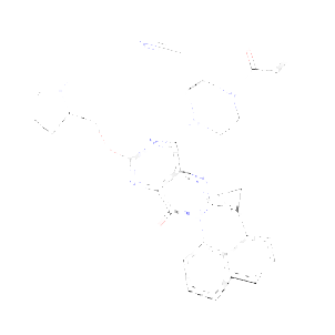 C=CC(=O)N1CCN(c2nc(OCC3CCCN3C)nc3c(=O)n(-c4cccc5cccc(C6CC6)c45)c(C)nc23)C[C@@H]1CC#N